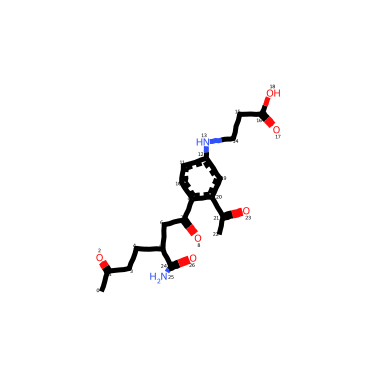 CC(=O)CCC(CC(=O)c1ccc(NCCC(=O)O)cc1C(C)=O)C(N)=O